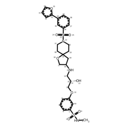 CNS(=O)(=O)c1cccc(OC[C@@H](O)CNC2COC3(CCN(S(=O)(=O)c4cccc(-c5ccco5)c4)CC3)C2)c1